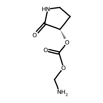 NCOC(=O)O[C@H]1CCNC1=O